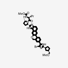 COC[C@@H]1CC[C@H](c2nc(Br)c(-c3ccc4c(c3)COc3cc5c(ccc6nc([C@@H]7CC[C@H](C)N7C(=O)[C@@H](NC(=O)OC)C(C)C)[nH]c65)cc3-4)[nH]2)C1